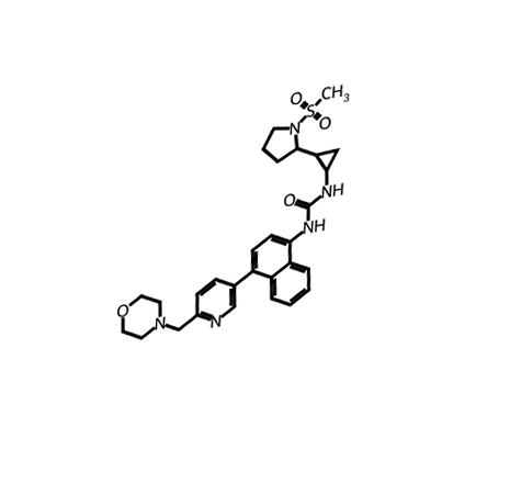 CS(=O)(=O)N1CCCC1C1CC1NC(=O)Nc1ccc(-c2ccc(CN3CCOCC3)nc2)c2ccccc12